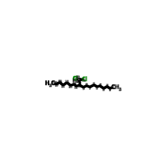 CCCCCCCCCCC(CCCCCCCC)[SiH](Cl)Cl